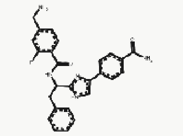 NCc1ccc(C(=O)NC(Cc2ccccc2)c2nc(-c3ccc(C(N)=O)cc3)c[nH]2)c(F)c1